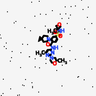 Cc1cc(NC(=O)c2ccc(S(=O)(=O)NC3(C)COC3)cc2N2CCC3(CC2)CC3)nc(N2CCO[C@H](C)C2)n1